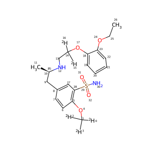 [2H]C([2H])([2H])Oc1ccc(C[C@@H](C)NCC([2H])([2H])Oc2ccccc2OCC)cc1S(N)(=O)=O